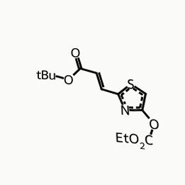 CCOC(=O)Oc1csc(C=CC(=O)OC(C)(C)C)n1